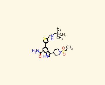 CCS(=O)(=O)N1CCC(c2c[nH]c3c(C(N)=O)cc(-c4csc(CNCC(C)(C)C)c4)cc23)CC1